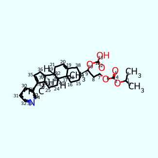 CC(C)OC(=O)OCCC(OC(=O)O)[C@H]1CC[C@@]2(C)C(=CC[C@@H]3[C@@H]2CC[C@]2(C)C(c4cccnc4)=CC[C@@H]32)C1